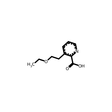 CCOCCc1cccnc1C(=O)O